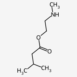 CNCCOC(=O)CC(C)C